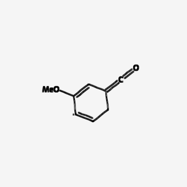 COC1=CC(=C=O)CC=[C]1